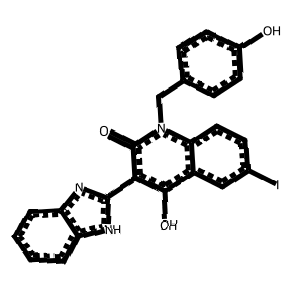 O=c1c(-c2nc3ccccc3[nH]2)c(O)c2cc(I)ccc2n1Cc1ccc(O)cc1